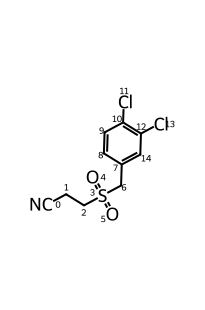 N#CCCS(=O)(=O)Cc1ccc(Cl)c(Cl)c1